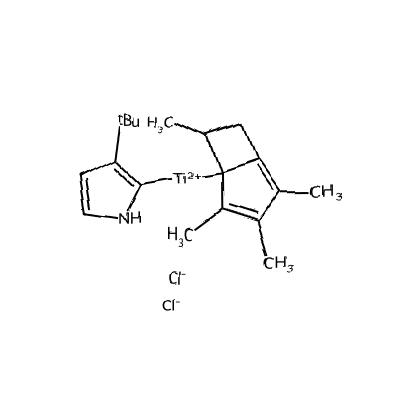 CC1=C(C)[C]2([Ti+2][c]3[nH]ccc3C(C)(C)C)C(=C1C)CC2C.[Cl-].[Cl-]